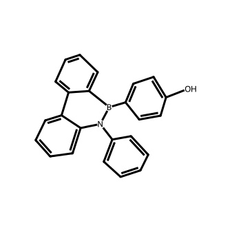 Oc1ccc(B2c3ccccc3-c3ccccc3N2c2ccccc2)cc1